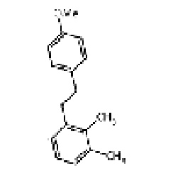 COc1ccc(CCc2[c]ccc(C)c2C)cc1